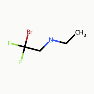 CC[N]CC(F)(F)Br